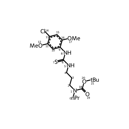 CCCN(CCCNC(=S)Nc1cc(OC)c(Cl)cc1OC)C(=O)OC(C)(C)C